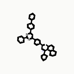 C=C(/C=C(/c1ccccc1)c1c(C)ccc2ccccc12)c1ccc(-c2cc(-c3ccc(-c4ccccc4)cc3)nc(-c3ccccc3)n2)cc1